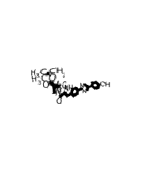 CNC(Cc1ccc(-c2ncc(-c3ccc(O)cc3)cn2)cc1)C(=O)N1CC(C(=O)OC(C)(C)C)C1